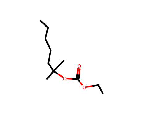 CCCCCC(C)(C)OC(=O)OCC